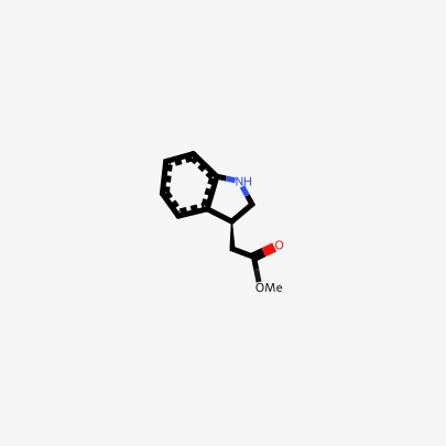 COC(=O)C[C@@H]1CNc2ccccc21